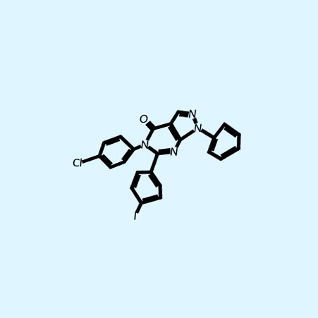 O=c1c2cnn(-c3ccccc3)c2nc(-c2ccc(I)cc2)n1-c1ccc(Cl)cc1